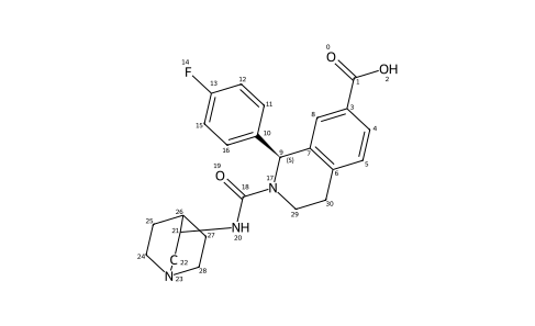 O=C(O)c1ccc2c(c1)[C@H](c1ccc(F)cc1)N(C(=O)NC1CN3CCC1CC3)CC2